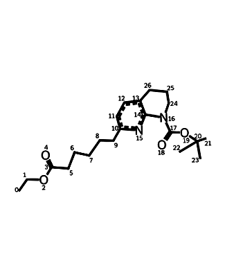 CCOC(=O)CCCCCc1ccc2c(n1)N(C(=O)OC(C)(C)C)CCC2